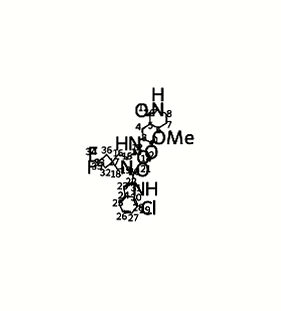 COC(=O)[C@H](C[C@@H]1CCCNC1=O)NC(=O)[C@@H]1CC2(CN1C(=O)c1cc3cccc(Cl)c3[nH]1)CC(F)(F)C2